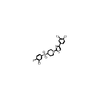 O=S(=O)(c1ccc(F)c(Cl)c1)C1CCN(c2nc(-c3ccc(Cl)c(Cl)c3)cs2)CC1